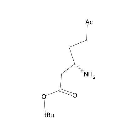 CC(=O)CC[C@H](N)CC(=O)OC(C)(C)C